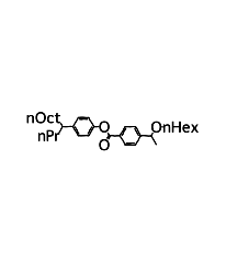 CCCCCCCCC(CCC)c1ccc(OC(=O)c2ccc(C(C)OCCCCCC)cc2)cc1